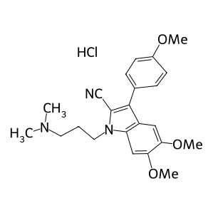 COc1ccc(-c2c(C#N)n(CCCN(C)C)c3cc(OC)c(OC)cc23)cc1.Cl